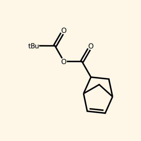 CC(C)(C)C(=O)OC(=O)C1CC2C=CC1C2